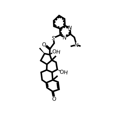 C[C@@H]1CC2C3CCC4=CC(=O)C=CC4(C)C3[C@@H](O)CC2(C)[C@@]1(O)C(=O)CSc1nc(CN(C)C)nc2ccccc12